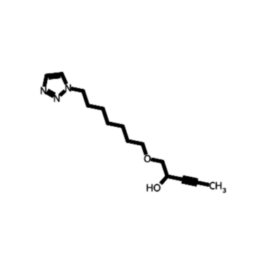 CC#CC(O)COCCCCCCCn1ccnn1